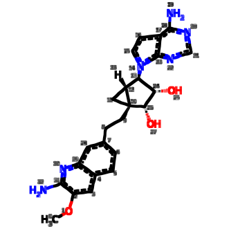 COc1cc2ccc(CC[C@@]34C[C@@H]3[C@@H](n3ccc5c(N)ncnc53)[C@H](O)[C@@H]4O)cc2nc1N